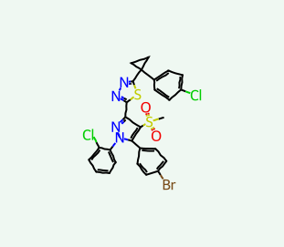 CS(=O)(=O)c1c(-c2nnc(C3(c4ccc(Cl)cc4)CC3)s2)nn(-c2ccccc2Cl)c1-c1ccc(Br)cc1